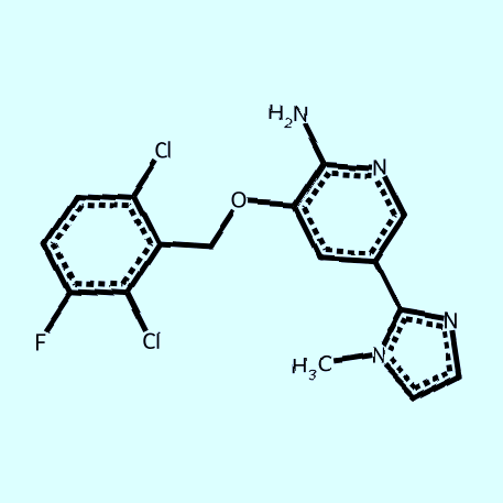 Cn1ccnc1-c1cnc(N)c(OCc2c(Cl)ccc(F)c2Cl)c1